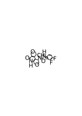 CN(C(=O)Nc1ccc(F)c(F)c1)C1COCc2[nH]c(=O)c3c(c21)CCOC3